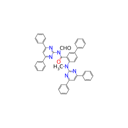 CN(c1nc(-c2ccccc2)cc(-c2ccccc2)n1)c1ccc(-c2ccccc2)cc1C(=O)N(C=O)c1nc(-c2ccccc2)cc(-c2ccccc2)n1